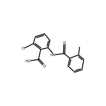 Cc1ccccc1C(=O)Nc1cccc(Cl)c1C(=O)O